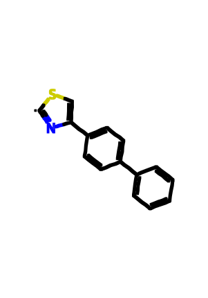 [c]1nc(-c2ccc(-c3ccccc3)cc2)cs1